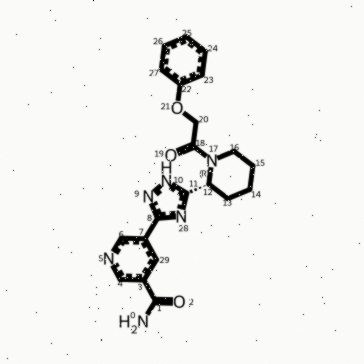 NC(=O)c1cncc(-c2n[nH]c([C@H]3CCCCN3C(=O)COc3ccccc3)n2)c1